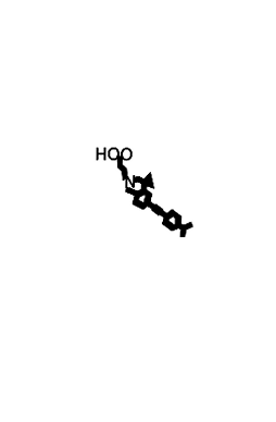 CC(C)c1ccc(C#Cc2ccc3c(c2)C2(CC2)CN(CCCC(=O)O)C3)cc1